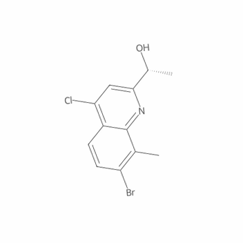 Cc1c(Br)ccc2c(Cl)cc([C@@H](C)O)nc12